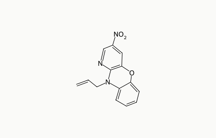 C=CCN1c2ccccc2Oc2cc([N+](=O)[O-])cnc21